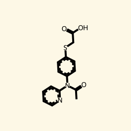 CC(=O)N(c1ccc(SCC(=O)O)cc1)c1ccccn1